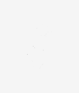 Cc1ccccc1S(=O)(=O)NCCc1ccccc1